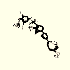 CCOC1CCC(c2ccc(-c3ccc(C(F)(F)Oc4cc(F)c(SC#N)c(F)c4)c(F)c3)cc2)OC1